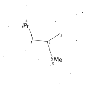 CSC(C)CC(C)C